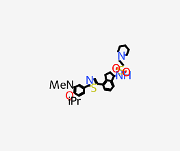 CNc1cc(-c2ncc(-c3cccc4c3CCC4NS(=O)(=O)CCN3CCCCC3)s2)ccc1OC(C)C